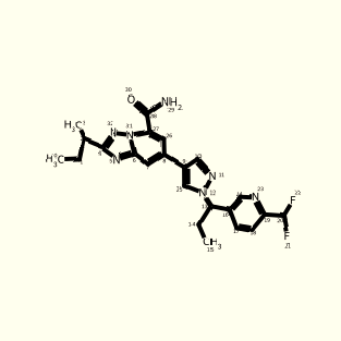 CCC(C)c1nc2cc(-c3cnn(C(CC)c4ccc(C(F)F)nc4)c3)cc(C(N)=O)n2n1